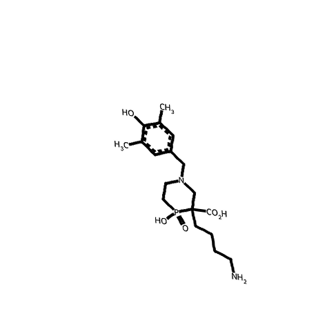 Cc1cc(CN2CCP(=O)(O)C(CCCCN)(C(=O)O)C2)cc(C)c1O